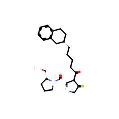 O=C(CCCC[C@@H]1CCc2ccccc2C1)C1C(=S)CN[C@@H]1C(=O)N1CCC[C@H]1CO